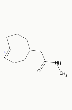 CNC(=O)CC1CC/C=C/CCC1